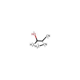 CC#N.CC(O)CC#N